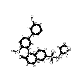 COc1ccc(-c2cccc(F)c2)cc1-n1c(=O)ccc2cc(S(=O)(=O)Nc3ccon3)ccc21